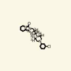 [2H]C1([2H])CN(c2cccc(Cl)c2)CC([2H])([2H])N1C([2H])([2H])C([2H])([2H])Cn1nc2ccccn2c1=O